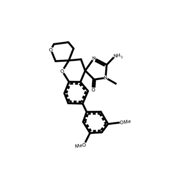 COc1cc(OC)cc(-c2ccc3c(c2)C2(CC4(CCCOC4)O3)N=C(N)N(C)C2=O)c1